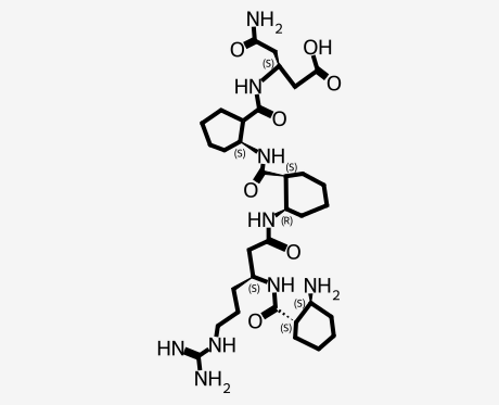 N=C(N)NCCC[C@@H](CC(=O)N[C@@H]1CCCC[C@@H]1C(=O)N[C@H]1CCCCC1C(=O)N[C@@H](CC(N)=O)CC(=O)O)NC(=O)[C@H]1CCCC[C@@H]1N